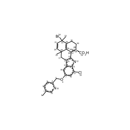 Cc1ccc(COc2cc(Cl)c3nc4n(c3c2)CC2(C)C=CC(C)(Br)C3=C2[C@H]4[C@H](C(=O)O)CC3)nc1